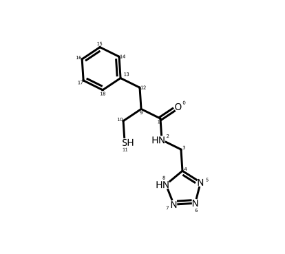 O=C(NCc1nnn[nH]1)C(CS)Cc1ccccc1